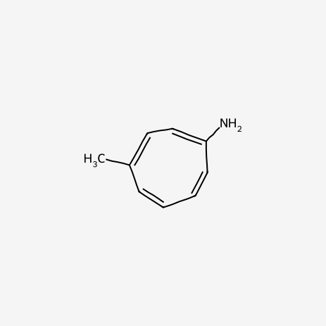 CC1=C/C=C(N)\C=C/C=C\1